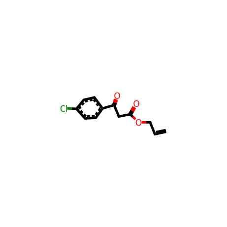 C=CCOC(=O)CC(=O)c1ccc(Cl)cc1